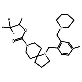 Cc1ccc(CN2CCCC23CCN(C(=O)OC(C)C(F)(F)F)CC3)c(CN2CCCCC2)c1